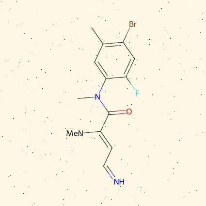 CN/C(=C\C=N)C(=O)N(C)c1cc(C)c(Br)cc1F